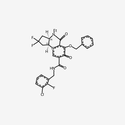 CCN1C(=O)c2c(OCc3ccccc3)c(=O)c(C(=O)NCc3cccc(Cl)c3F)cn2[C@H]2CC(F)(F)C[C@H]21